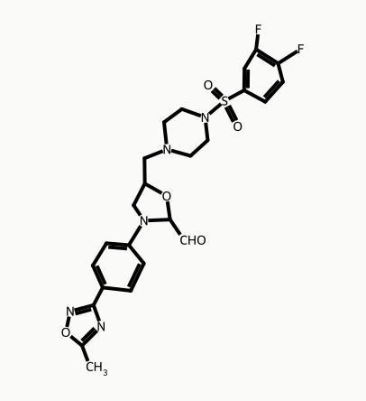 Cc1nc(-c2ccc(N3CC(CN4CCN(S(=O)(=O)c5ccc(F)c(F)c5)CC4)OC3C=O)cc2)no1